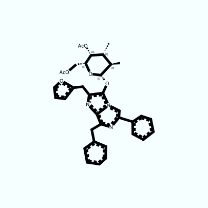 CC(=O)OC[C@H]1O[C@@H](Oc2c(Cc3ccco3)nc3c(Cc4ccccc4)nc(-c4ccccc4)cn23)[C@H](C)[C@@H](C)[C@H]1OC(C)=O